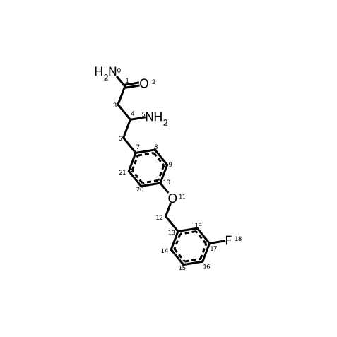 NC(=O)CC(N)Cc1ccc(OCc2cccc(F)c2)cc1